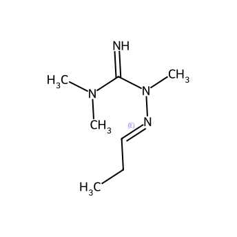 CC/C=N/N(C)C(=N)N(C)C